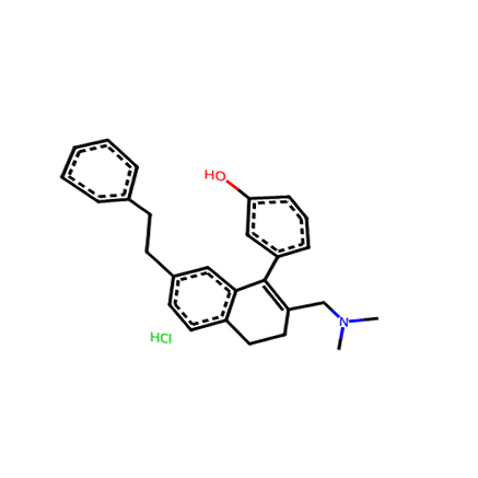 CN(C)CC1=C(c2cccc(O)c2)c2cc(CCc3ccccc3)ccc2CC1.Cl